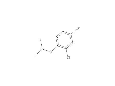 FC(F)Oc1ccc(Br)cc1Cl